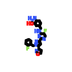 Nc1ccc(CNc2nc(-c3cc(-c4ccon4)n(Cc4ccccc4F)n3)ncc2F)cc1O